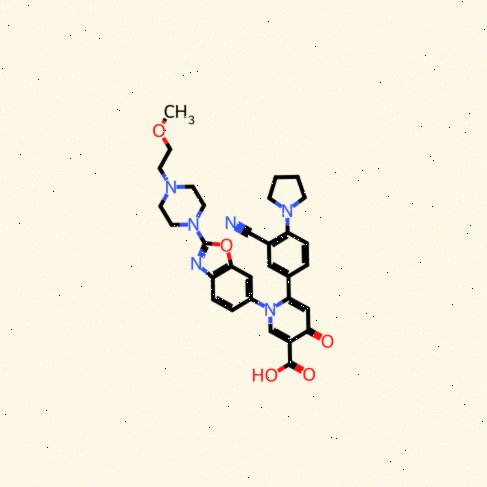 COCCN1CCN(c2nc3ccc(-n4cc(C(=O)O)c(=O)cc4-c4ccc(N5CCCC5)c(C#N)c4)cc3o2)CC1